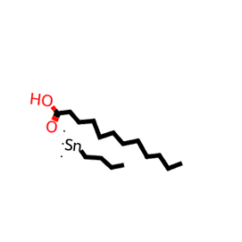 CCCCCCCCCCCC(=O)O.CCC[CH2][Sn]